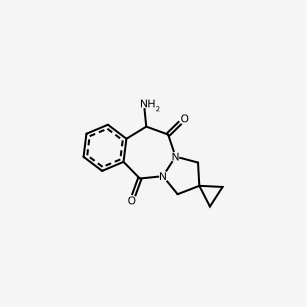 NC1C(=O)N2CC3(CC3)CN2C(=O)c2ccccc21